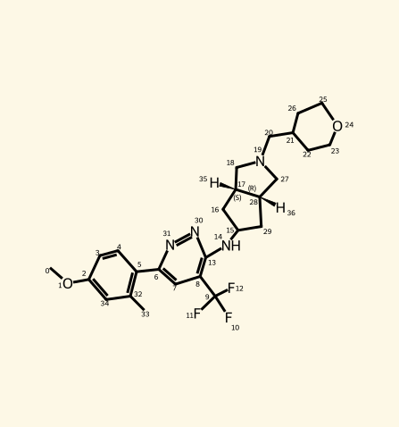 COc1ccc(-c2cc(C(F)(F)F)c(NC3C[C@@H]4CN(CC5CCOCC5)C[C@@H]4C3)nn2)c(C)c1